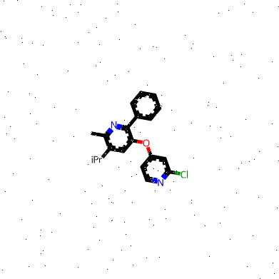 Cc1nc(-c2ccccc2)c(Oc2ccnc(Cl)c2)cc1C(C)C